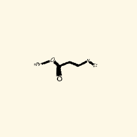 CCCOC(=O)CC[N]CC